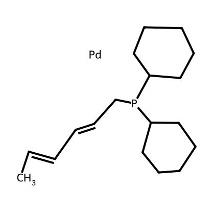 CC=CC=CCP(C1CCCCC1)C1CCCCC1.[Pd]